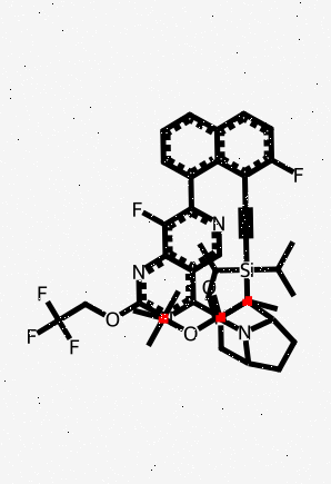 CC(C)[Si](C#Cc1c(F)ccc2cccc(-c3ncc4c(N5CC6CCC(C5)N6C(=O)OC(C)(C)C)nc(OCC(F)(F)F)nc4c3F)c12)(C(C)C)C(C)C